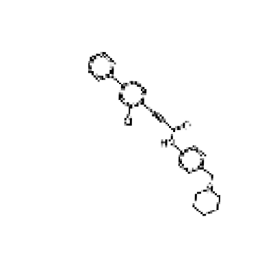 O=C(C#Cc1ccc(-c2ccccc2)cc1Cl)Nc1ccc(CN2CCCCC2)cc1